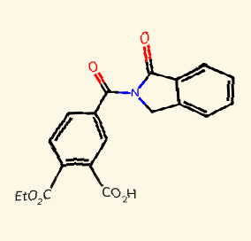 CCOC(=O)c1ccc(C(=O)N2Cc3ccccc3C2=O)cc1C(=O)O